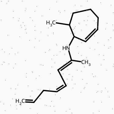 C=CC/C=C\C=C(/C)NC1C=CCCCC1C